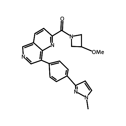 COC1CN(C(=O)c2ccc3cncc(-c4ccc(-c5ccn(C)n5)cc4)c3n2)C1